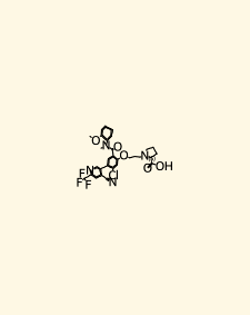 COc1ccccc1N(C)C(=O)c1cc(-c2cnc(C(F)(F)F)cc2C#N)c(Cl)cc1OCCCN1CCC[C@H]1C(=O)O